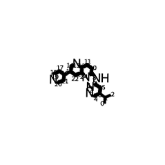 CC(C)c1cnnc(Nc2ccc3ncc(-c4ccncc4)cc3n2)c1